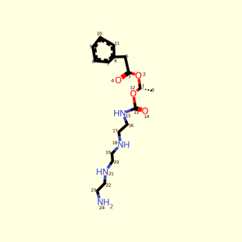 C[C@@H](OC(=O)Cc1ccccc1)OC(=O)NCCNCCNCCN